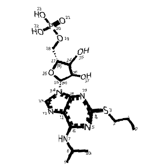 CCCSc1nc(NC(C)C)c2ncn([C@@H]3O[C@H](COP(=O)(O)O)C(O)C3O)c2n1